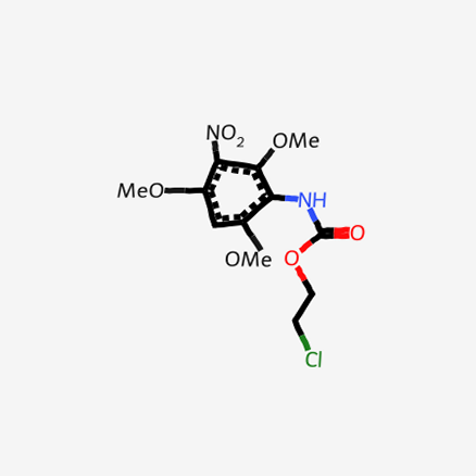 COc1cc(OC)c([N+](=O)[O-])c(OC)c1NC(=O)OCCCl